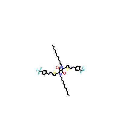 CCCCCCCCCCCCN1C(=O)C2=C(c3ccc(/C=C/c4ccc(C(F)(F)F)cc4)s3)N(CCCCCCCCCCCC)C(=O)C2=C1c1ccc(/C=C/c2ccc(C(F)(F)F)cc2)s1